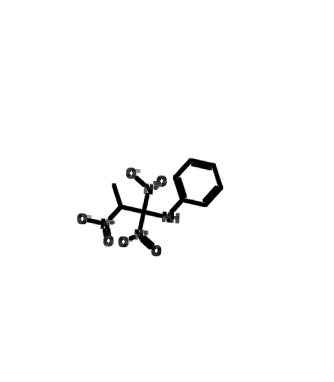 CC([N+](=O)[O-])C(Nc1ccccc1)([N+](=O)[O-])[N+](=O)[O-]